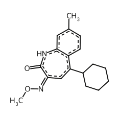 CO/N=c1/cc(C2CCCCC2)c2ccc(C)cc2[nH]c1=O